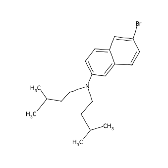 CC(C)CCN(CCC(C)C)c1ccc2cc(Br)ccc2c1